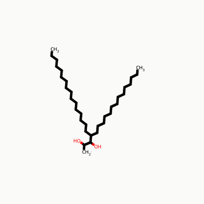 [CH2]C(O)C(O)C(CCCCCCCCCCCCCC)CCCCCCCCCCCCCCCC